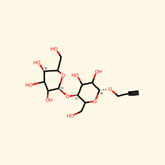 C#CCO[C@@H]1OC(CO)[C@@H](O[C@@H]2OC(CO)[C@H](O)C(O)C2O)C(O)C1O